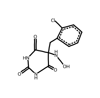 O=C1NC(=O)C(Cc2ccccc2Cl)(NO)C(=O)N1